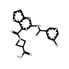 CC(Nc1nc(C(=O)N2CC(C(N)=O)C2)c2sccc2n1)c1cncc(F)c1